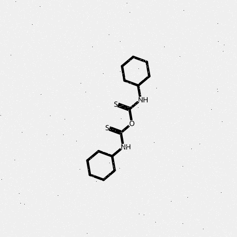 S=C(NC1CCCCC1)OC(=S)NC1CCCCC1